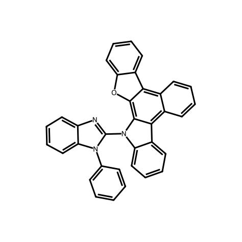 c1ccc(-n2c(-n3c4ccccc4c4c5ccccc5c5c6ccccc6oc5c43)nc3ccccc32)cc1